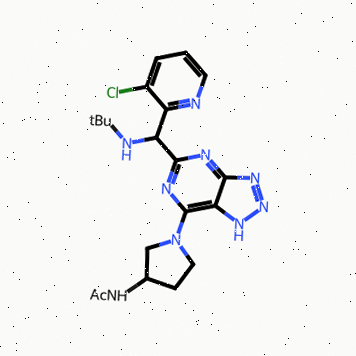 CC(=O)NC1CCN(c2nc(C(NC(C)(C)C)c3ncccc3Cl)nc3nn[nH]c23)C1